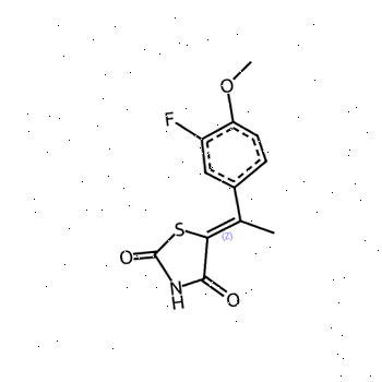 COc1ccc(/C(C)=C2\SC(=O)NC2=O)cc1F